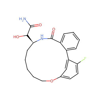 NC(=O)C(O)[C@@H]1CCCCCOc2ccc(F)c(c2)-c2ccccc2C(=O)N1